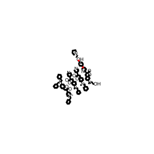 CN(CCO)c1ccc2cc(-c3cccc[n+]3C)c(=O)oc2c1.CN(Cc1ccccc1)c1ccc2cc(-c3ccncc3)c(=O)oc2c1.CN(Cc1ccccc1)c1ccc2cc(-c3ccncc3)c(=O)oc2c1.CN1C=CC=CC1.O=c1oc2cc(N(Cc3ccccc3)Cc3ccccc3)ccc2cc1-c1cc[n+](Cc2ccccc2)cc1.OCCN1C=CC=CC1